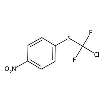 O=[N+]([O-])c1ccc(SC(F)(F)Cl)cc1